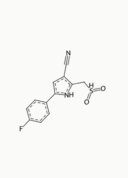 N#Cc1cc(-c2ccc(F)cc2)[nH]c1C[SH](=O)=O